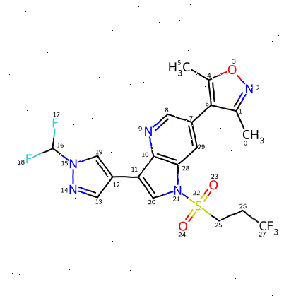 Cc1noc(C)c1-c1cnc2c(-c3cnn(C(F)F)c3)cn(S(=O)(=O)CCC(F)(F)F)c2c1